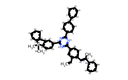 C=Cc1cc(-c2nc(-c3ccc(-c4ccccc4)cc3)nc(-c3ccc4c(c3)-c3ccccc3[Si]4(C)C)n2)ccc1/C=C(\C)c1ccccc1